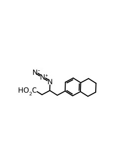 [N-]=[N+]=NC(CC(=O)O)Cc1ccc2c(c1)CCCC2